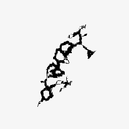 C[C@H](C(=O)O)[C@H](c1ccc2c(c1)OC(C13CCN([C@H](C)c4cc(F)ccc4OC(F)(F)F)C(C1)C3)CC2)C1CC1